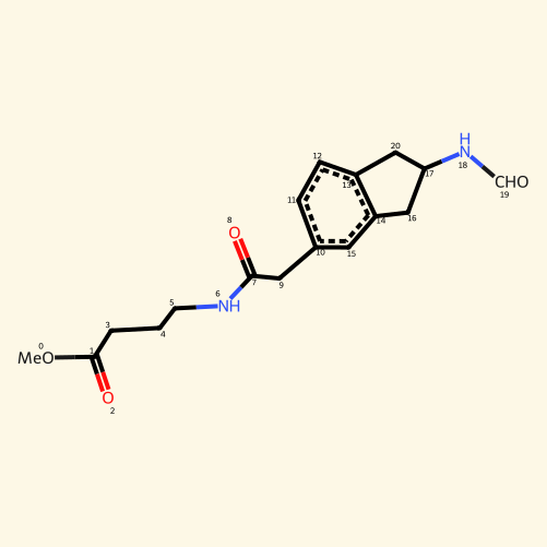 COC(=O)CCCNC(=O)Cc1ccc2c(c1)CC(NC=O)C2